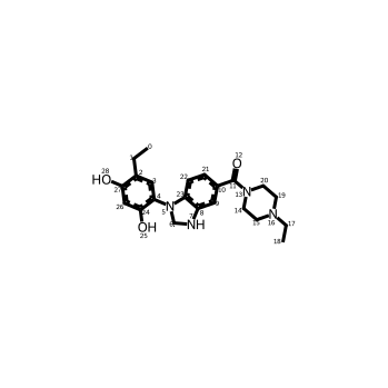 CCc1cc(N2[CH]Nc3cc(C(=O)N4CCN(CC)CC4)ccc32)c(O)cc1O